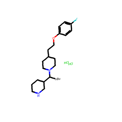 CCCCC(C1CCCNC1)N1CCC(CCOc2ccc(F)cc2)CC1.Cl.Cl